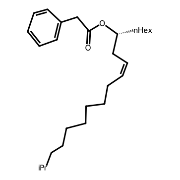 CCCCCC[C@H](C/C=C\CCCCCCCC(C)C)OC(=O)Cc1ccccc1